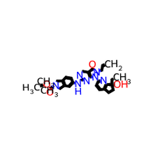 C=CCn1c(=O)c2cnc(Nc3ccc4c(c3)CN(C(=O)OC(C)(C)C)C4)nc2n1-c1ccc2c(n1)[C@@](O)(CC)CC2